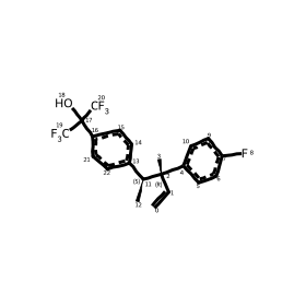 C=C[C@@](C)(c1ccc(F)cc1)[C@@H](C)c1ccc(C(O)(C(F)(F)F)C(F)(F)F)cc1